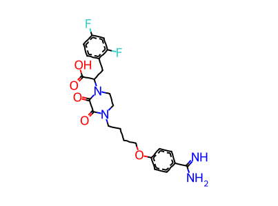 N=C(N)c1ccc(OCCCCN2CCN(C(Cc3ccc(F)cc3F)C(=O)O)C(=O)C2=O)cc1